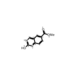 COC(=O)c1ccc2nc(O)ncc2c1